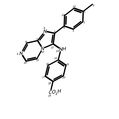 Cc1ccc(-c2nc3cnccn3c2Nc2ccc(C(=O)O)cc2)cc1